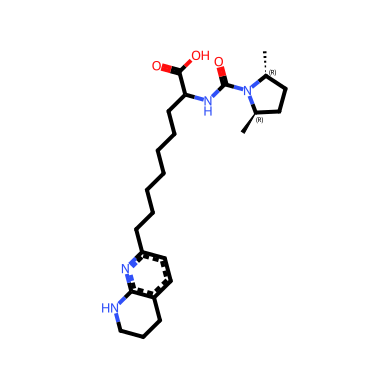 C[C@@H]1CC[C@@H](C)N1C(=O)NC(CCCCCCCc1ccc2c(n1)NCCC2)C(=O)O